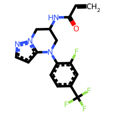 C=CC(=O)NC1CN(c2ccc(C(F)(F)F)cc2F)c2ccnn2C1